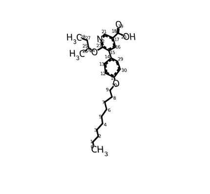 CCCCCCCCCCOc1ccc(-c2cc(C(=O)O)cnc2O[C@@H](C)CC)cc1